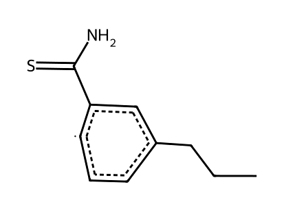 CCCc1cc[c]c(C(N)=S)c1